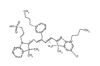 CCCCc1cccc(C(=C\C=C2\N(CCCS(=O)(=O)O)c3ccccc3C2(C)C)/C=C/C2=Nc3c(cc(Cl)c[n+]3CCCC)C2(C)C)c1